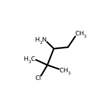 CCC(N)C(C)(C)Cl